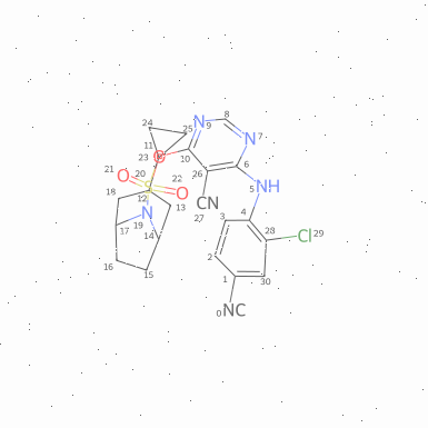 [C-]#[N+]c1ccc(Nc2ncnc(OC3CC4CCC(C3)N4S(=O)(=O)C3CC3)c2C#N)c(Cl)c1